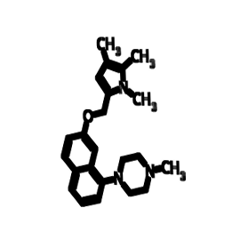 Cc1cc(COc2ccc3cccc(N4CCN(C)CC4)c3c2)n(C)c1C